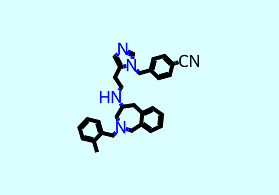 Cc1ccccc1CN1Cc2ccccc2CC(NCCc2cncn2Cc2ccc(C#N)cc2)C1